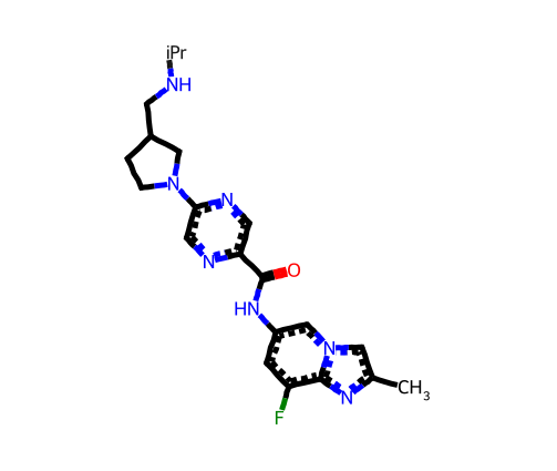 Cc1cn2cc(NC(=O)c3cnc(N4CCC(CNC(C)C)C4)cn3)cc(F)c2n1